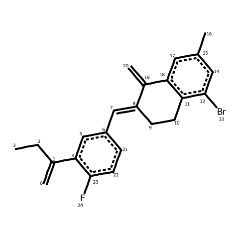 C=C(CC)c1cc(/C=C2\CCc3c(Br)cc(C)cc3C2=C)ccc1F